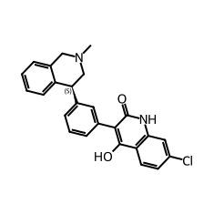 CN1Cc2ccccc2[C@H](c2cccc(-c3c(O)c4ccc(Cl)cc4[nH]c3=O)c2)C1